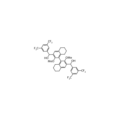 COc1c(C(O)c2cc(C(F)(F)F)cc(C(F)(F)F)c2)cc2c(c1-c1c3c(cc(C(O)c4cc(C(F)(F)F)cc(C(F)(F)F)c4)c1OC)CCCC3)CCCC2